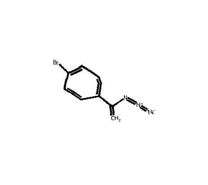 C=C(N=[N+]=[N-])c1ccc(Br)cc1